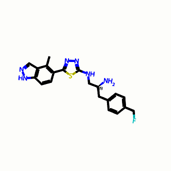 Cc1c(-c2nnc(NC[C@@H](N)Cc3ccc(CF)cc3)s2)ccc2[nH]ncc12